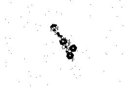 O=C(O[C@H]1C[N+]2(CCCSc3ncccn3)CCC1CC2)N(Cc1ccc(F)cc1)c1ccccc1F